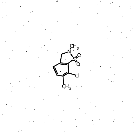 Cc1ccc2c(c1Cl)S(=O)(=O)N(C)C2